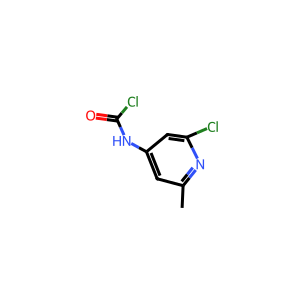 Cc1cc(NC(=O)Cl)cc(Cl)n1